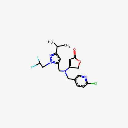 CC(C)c1cc(CN(Cc2ccc(Cl)nc2)C2=CC(=O)OC2)n(CC(F)F)n1